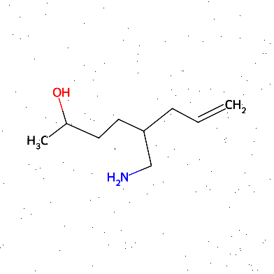 C=CCC(CN)CCC(C)O